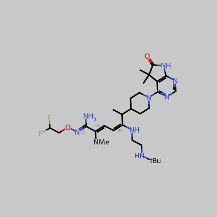 CNC(=C\C=C(\NCCNC(C)(C)C)C(C)C1CCN(c2ncnc3c2C(C)(C)C(=O)N3)CC1)/C(N)=N/OCC(F)F